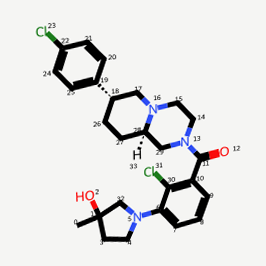 CC1(O)CCN(c2cccc(C(=O)N3CCN4C[C@@H](c5ccc(Cl)cc5)CC[C@@H]4C3)c2Cl)C1